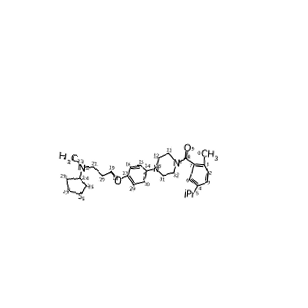 Cc1ccc(C(C)C)cc1C(=O)N1CCN(c2ccc(OCCCN(C)C3CCCC3)cc2)CC1